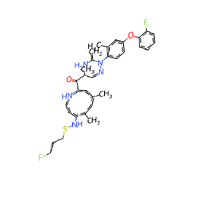 C=C(N)N(/N=C\C(C)C(=O)c1cc(C)cc(C)c(NSCCCF)cc[nH]1)c1ccc(Oc2ccccc2F)cc1C